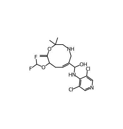 C=C1OC(C)(C)CNC/C(C(O)Nc2c(Cl)cncc2Cl)=C\CC1OC(F)F